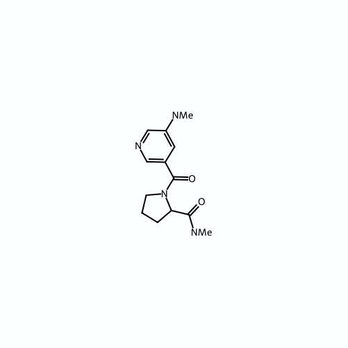 CNC(=O)C1CCCN1C(=O)c1cncc(NC)c1